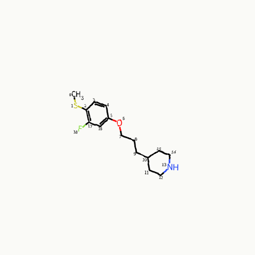 CSc1ccc(OCCCC2CCNCC2)cc1F